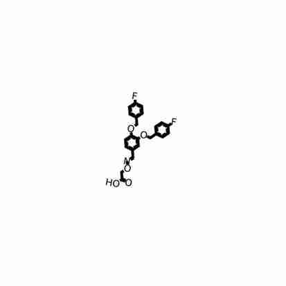 O=C(O)CON=Cc1ccc(OCc2ccc(F)cc2)c(OCc2ccc(F)cc2)c1